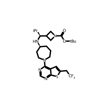 CC(C)[C@H](N[C@H]1CCCN(c2ncnc3sc(CC(F)(F)F)cc23)CC1)C1CN(C(=O)OC(C)(C)C)C1